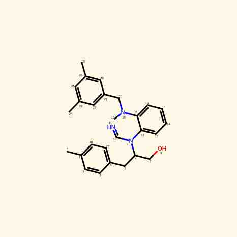 Cc1ccc(CC(CO)N(C=N)c2ccccc2N(C)Cc2cc(C)cc(C)c2)cc1